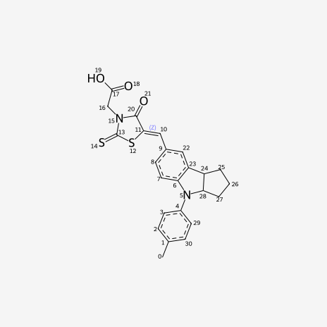 Cc1ccc(N2c3ccc(/C=C4\SC(=S)N(CC(=O)O)C4=O)cc3C3CCCC32)cc1